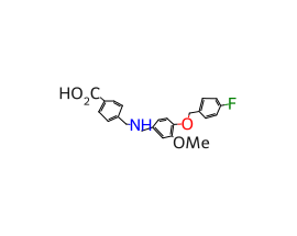 COc1cc(CNCc2ccc(C(=O)O)cc2)ccc1OCc1ccc(F)cc1